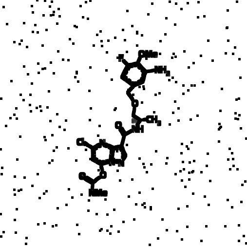 CNC(=O)Oc1cc(Cl)nc2c(C(=O)N[C@H](C)COCc3cc(N)c(OC)c(F)c3)cnn12